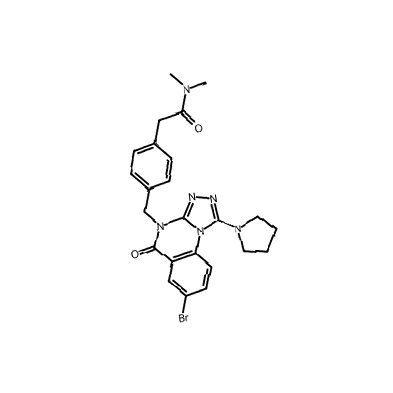 CN(C)C(=O)Cc1ccc(Cn2c(=O)c3cc(Br)ccc3n3c(N4CCCC4)nnc23)cc1